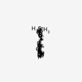 CC(C)c1noc(N2CCC([C@H]3C[C@H]3CCOc3ccc(CC(=O)N4CCn5c(nnc5C(F)(F)F)C4)c(F)c3)CC2)n1